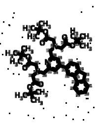 CC(C)(C)OC(=O)CN(CC(=O)OC(C)(C)C)Cc1cc(-c2ccc3c(c2)-c2ccccc2C3)cc(CN(CC(=O)OC(C)(C)C)CC(=O)OC(C)(C)C)n1